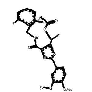 CCOc1cc(-c2nc(C(=O)NCc3c(F)cccc3F)c(C(C)OC(N)=O)o2)ccc1OC